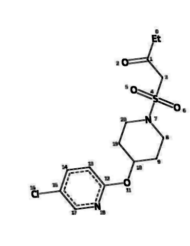 CCC(=O)CS(=O)(=O)N1CCC(Oc2ccc(Cl)cn2)CC1